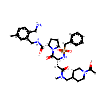 CC(=O)N1CCC(CN(C)C(=O)C[C@@H](NS(=O)(=O)Cc2ccccc2)C(=O)N2CCC[C@H]2C(=O)NCc2cc(C)ccc2CN)CC1